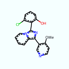 COc1ccncc1-c1nc(-c2c(O)cccc2Cl)n2ccccc12